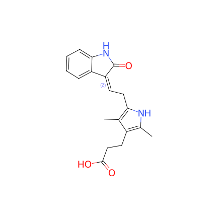 Cc1[nH]c(C/C=C2\C(=O)Nc3ccccc32)c(C)c1CCC(=O)O